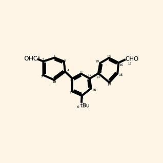 CC(C)(C)c1cc(-c2ccc(C=O)cc2)cc(-c2ccc(C=O)cc2)c1